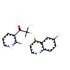 CC(C)(Sc1ccnc2ccc(Br)cc12)C(=O)c1cccnc1N